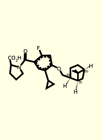 CC1(C)[C@H]2CC[C@H](COc3cc(F)c(C(=O)N4CCCC4C(=O)O)cc3C3CC3)[C@@H]1C2